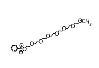 COCCOCCOCCOCCOCCOCCOCCOS(=O)(=O)c1ccccc1